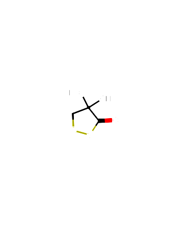 CC1(C)CSSC1=O